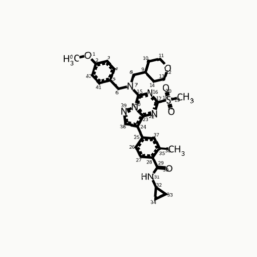 COc1ccc(CN(CC2CCOCC2)c2nc(S(C)(=O)=O)nc3c(-c4ccc(C(=O)NC5CC5)c(C)c4)cnn23)cc1